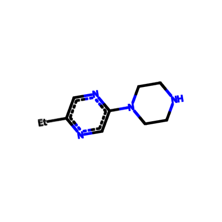 CCc1cnc(N2CCNCC2)cn1